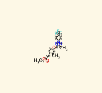 CCOC(=O)C#Cc1ccc(OCc2nn(-c3ccc(C(F)(F)F)cc3)nc2C)cc1C